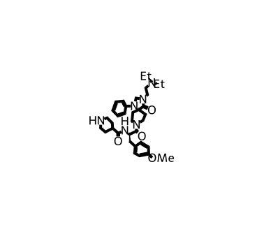 CCN(CC)CCN1CN(c2ccccc2)C2(CCN(C(=O)[C@@H](Cc3ccc(OC)cc3)NC(=O)C3CCNCC3)CC2)C1=O